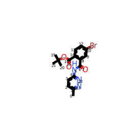 Cc1ccc(NC(=O)c2cc(Br)ccc2C(=O)OC(C)(C)C)nn1